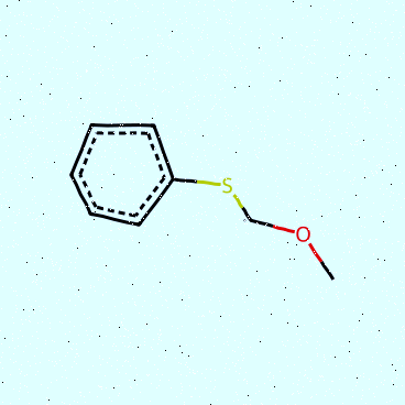 CO[CH]Sc1ccccc1